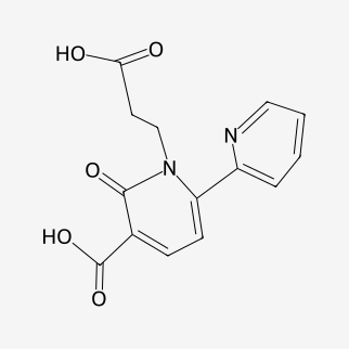 O=C(O)CCn1c(-c2ccccn2)ccc(C(=O)O)c1=O